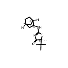 CC(C)(F)[C@]1(C)SC(N[C@H]2C[C@@H]3CC[C@H]2C3)=NC1=O